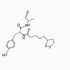 CC(C=O)NC(=O)C(Cc1ccc(O)cc1)NC(=O)CCCCC1CCSS1